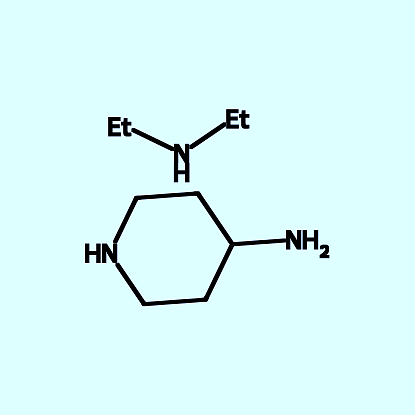 CCNCC.NC1CCNCC1